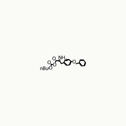 CCCCOC(=O)OC(=O)[C@@H](N)Cc1ccc(OCc2ccccc2)cc1